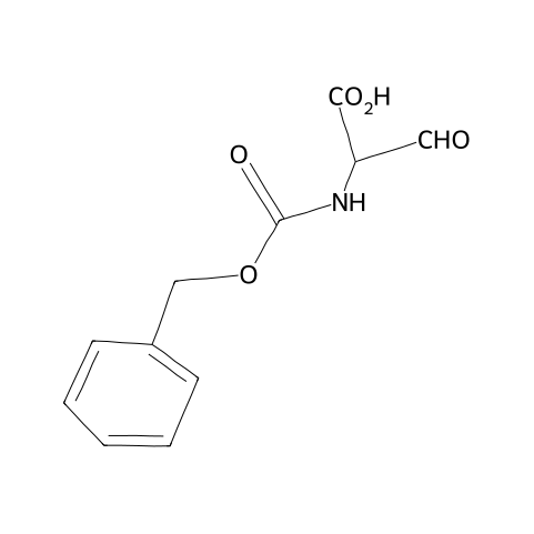 O=CC(NC(=O)OCc1ccccc1)C(=O)O